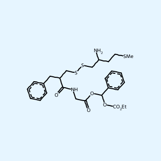 CCOC(=O)OC(OC(=O)CNC(=O)C(CSSCC(N)CCSC)Cc1ccccc1)c1ccccc1